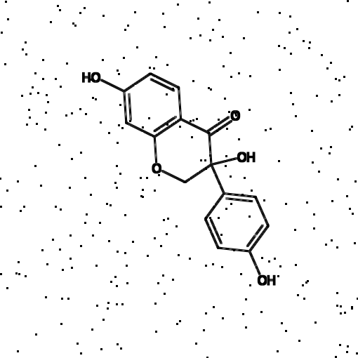 O=C1c2ccc(O)cc2OCC1(O)c1ccc(O)cc1